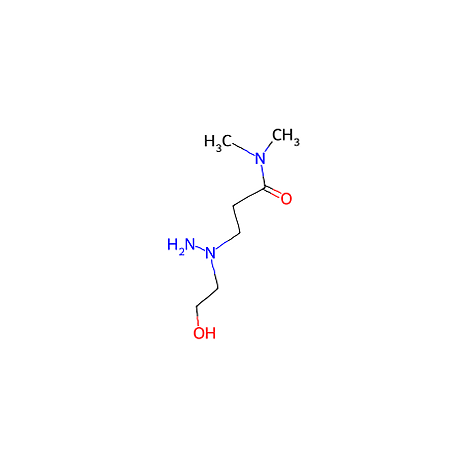 CN(C)C(=O)CCN(N)CCO